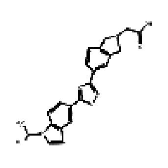 CC(C)n1ccc2cc(-c3nc(-c4ccc5c(c4)CN(CC(=O)O)C5)no3)ccc21